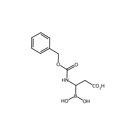 O=C(O)CC(NC(=O)OCc1ccccc1)B(O)O